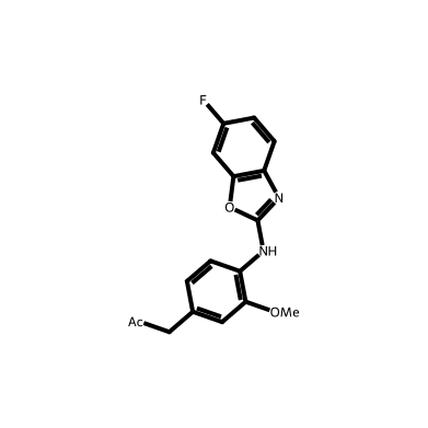 COc1cc(CC(C)=O)ccc1Nc1nc2ccc(F)cc2o1